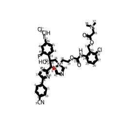 C[C@@H](c1nc(-c2ccc(C#N)cc2)cs1)[C@](O)(C[N+]1(CCOC(=O)Nc2cccc(Cl)c2COC(=O)CN(C)C)C=NC=N1)c1ccc(F)cc1F.Cl.[Cl-]